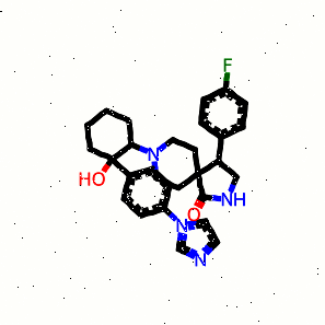 O=C1NCC(c2ccc(F)cc2)C12CCN(C1CCCCC1(O)c1ccc(-n3ccnc3)cc1)CC2